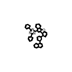 C1=CCCC(c2nc(-c3ccccc3)nc(-c3cc4c(oc5cccc(C6=CC=CC(c7cccc8ccccc78)C6)c54)c4ccccc34)n2)=C1